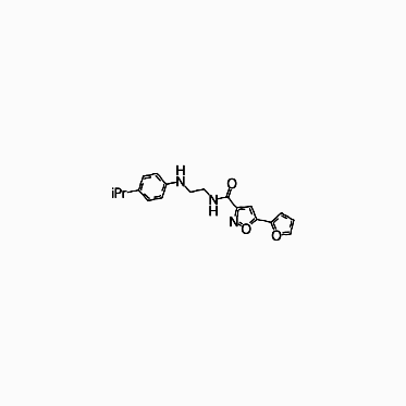 CC(C)c1ccc(NCCNC(=O)c2cc(-c3ccco3)on2)cc1